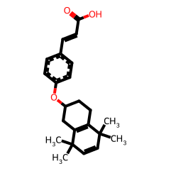 CC1(C)C=CC(C)(C)C2=C1CCC(Oc1ccc(C=CC(=O)O)cc1)C2